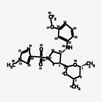 C[C@@H]1C[C@@H](C)OC([C@H]2CN(S(=O)(=O)c3cn(C)cn3)C[C@@H]2Nc2cccc(OC(F)(F)F)c2)O1